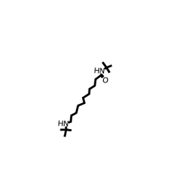 CC(C)(C)NCCCCCCCCCCC(=O)NC(C)(C)C